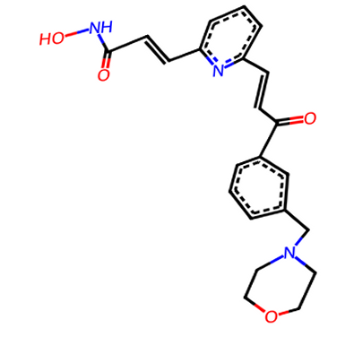 O=C(C=Cc1cccc(C=CC(=O)c2cccc(CN3CCOCC3)c2)n1)NO